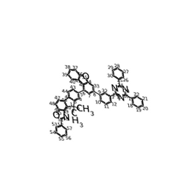 CC1(C)c2cc(-c3cc(-c4cccc(-c5nc(-c6ccccc6)nc(-c6ccccc6)n5)c4)cc4oc5ccccc5c34)ccc2-c2ccc3oc(-c4ccccc4)nc3c21